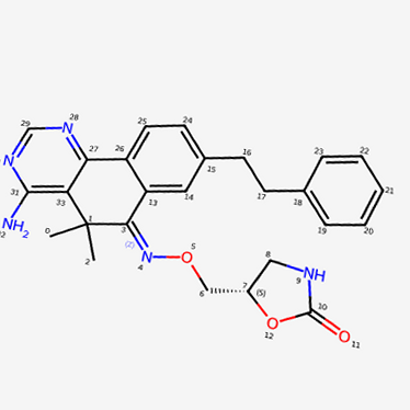 CC1(C)/C(=N/OC[C@@H]2CNC(=O)O2)c2cc(CCc3ccccc3)ccc2-c2ncnc(N)c21